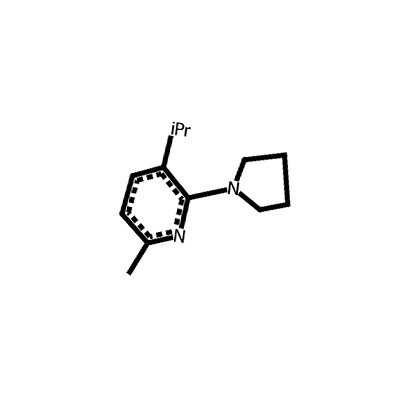 Cc1ccc(C(C)C)c(N2CCCC2)n1